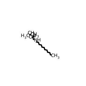 CCCCCCCCCCCCNCC(=O)OC(C)(C)C